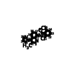 Cc1cnc2c(NC(=O)c3c(Cl)cccc3Cl)cccc2c1-n1cccn1